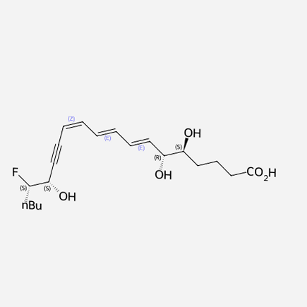 CCCC[C@H](F)[C@@H](O)C#C\C=C/C=C/C=C/[C@@H](O)[C@@H](O)CCCC(=O)O